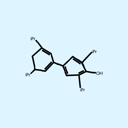 CC(C)C1=CC(c2cc(C(C)C)c(O)c(C(C)C)c2)=CC(C(C)C)C1